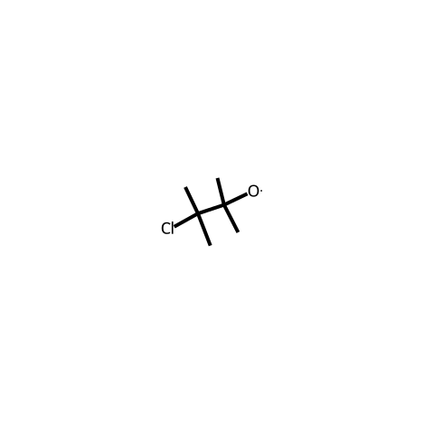 CC(C)([O])C(C)(C)Cl